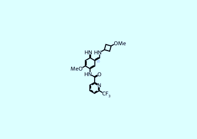 COC1=CC(=N)/C(=C\NC2CC(OC)C2)C=C1NC(=O)c1cccc(C(F)(F)F)n1